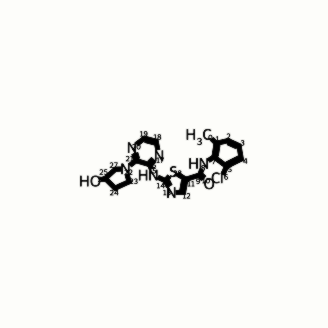 Cc1cccc(Cl)c1NC(=O)c1cnc(Nc2nccnc2N2CCC(O)C2)s1